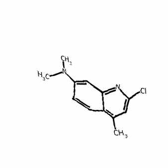 Cc1cc(Cl)nc2cc(N(C)C)ccc12